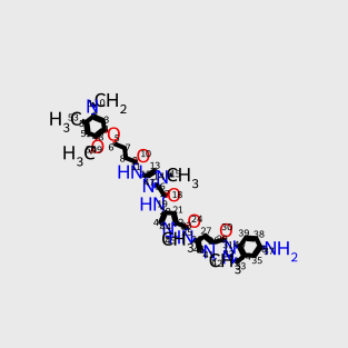 C=Nc1cc(OCCCC(=O)Nc2cn(C)c(C(=O)Nc3cc(C(=O)Nc4cc(C(=O)n5ncc6cc(N)ccc65)n(C)c4)n(C)c3)n2)c(OC)cc1C